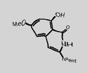 CCCCCc1cc2cc(OC)cc(O)c2c(=O)[nH]1